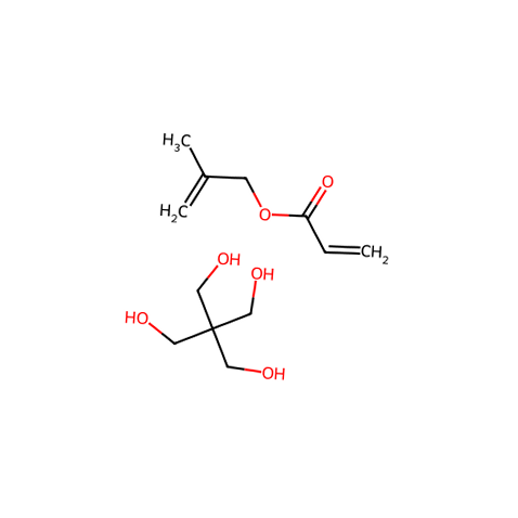 C=CC(=O)OCC(=C)C.OCC(CO)(CO)CO